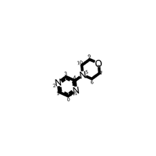 [c]1cncc(N2CCOCC2)n1